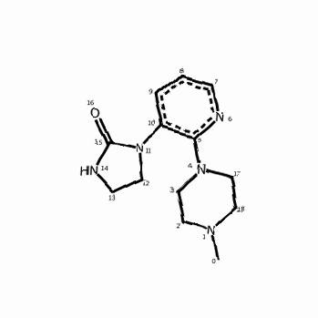 CN1CCN(c2ncccc2N2CCNC2=O)CC1